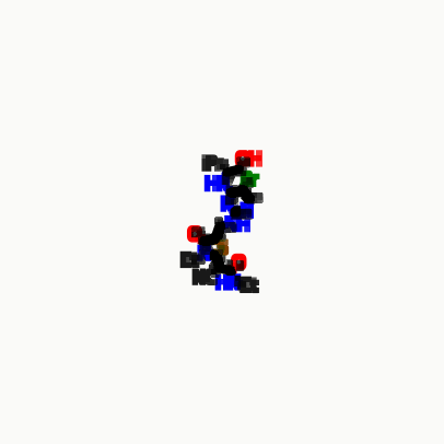 CCNC(=O)C(C#N)=c1sc(=CNc2ncc(Br)c(N[C@@H](CO)C(C)C)n2)c(=O)n1CC